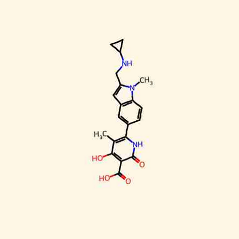 Cc1c(-c2ccc3c(c2)cc(CNC2CC2)n3C)[nH]c(=O)c(C(=O)O)c1O